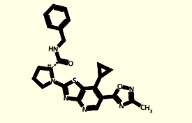 Cc1noc(-c2cnc3nc(N4CCC[C@@H]4C(=O)NCc4ccccc4)sc3c2C2CC2)n1